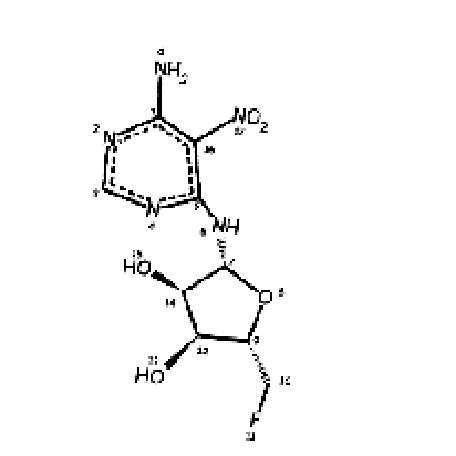 Nc1ncnc(N[C@@H]2O[C@H](CF)[C@@H](O)[C@H]2O)c1[N+](=O)[O-]